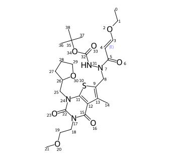 CCO/C=C/C(=O)N(Cc1sc2c(c1C)c(=O)n(CCOC)c(=O)n2CC1CCCO1)NC(=O)OC(C)(C)C